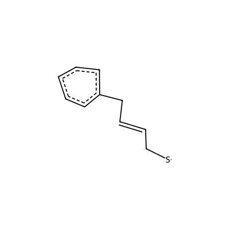 [S]C/C=C/Cc1ccccc1